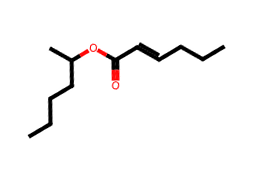 CCCC=CC(=O)OC(C)CCCC